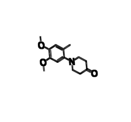 COc1cc(C)c(N2CCC(=O)CC2)cc1OC